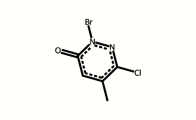 Cc1cc(=O)n(Br)nc1Cl